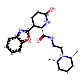 C[C@@H]1CCC[C@H](C)N1CCNC(=O)[C@H]1NC(O)CCC1c1nc2ccccc2o1